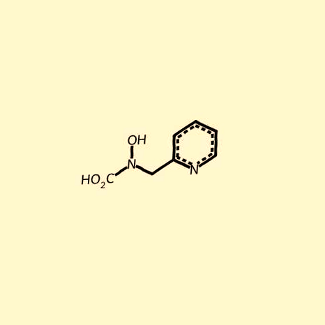 O=C(O)N(O)Cc1ccccn1